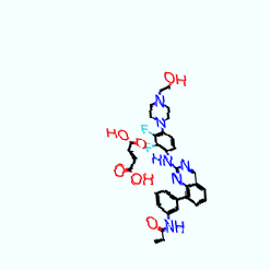 C=CC(=O)Nc1cccc(-c2cccc3cnc(Nc4ccc(N5CCN(CCO)CC5)c(F)c4F)nc23)c1.O=C(O)C=CC(=O)O